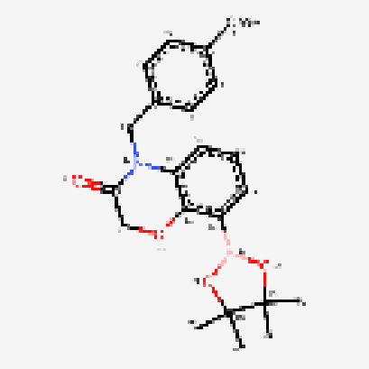 COc1ccc(CN2C(=O)COc3c(B4OC(C)(C)C(C)(C)O4)cccc32)cc1